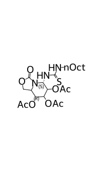 CCCCCCCCNC(=S)N[C@@H]1C(OC(C)=O)C(OC(C)=O)[C@H](OC(C)=O)C2COC(=O)N21